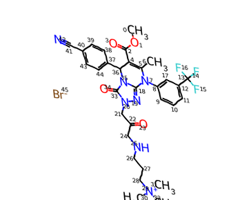 COC(=O)C1=C(C)N(c2cccc(C(F)(F)F)c2)c2nn(CC(=O)CNCCC[N+](C)(C)C)c(=O)n2C1c1ccc(C#N)cc1.[Br-]